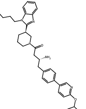 CCCCn1c([C@@H]2CCCN(C(=O)C[C@H](N)Cc3ccc(-c4ccc(OC(C)C)nc4)cc3)C2)nc2ccccc21